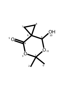 CC1(C)OC(=O)C2(CC2)C(O)O1